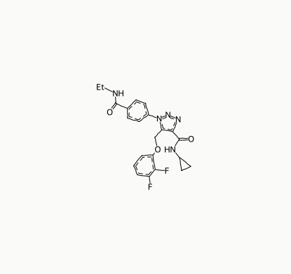 CCNC(=O)c1ccc(-n2nnc(C(=O)NC3CC3)c2COc2cccc(F)c2F)cc1